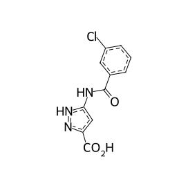 O=C(Nc1cc(C(=O)O)n[nH]1)c1cccc(Cl)c1